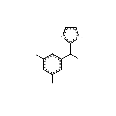 Cc1cc(C#N)cc(C(C)c2ncc[nH]2)c1